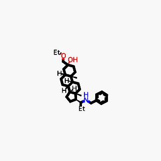 CCOC[C@@]1(O)CC[C@@]2(C)[C@H](CC[C@@H]3[C@@H]2CC[C@]2(C)[C@@H](C(CC)NCc4ccccc4)CC[C@@H]32)C1